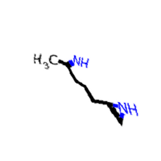 CC(=N)CCCC1=CN1